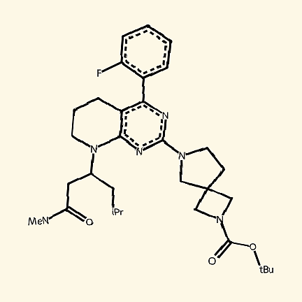 CNC(=O)CC(CC(C)C)N1CCCc2c(-c3ccccc3F)nc(N3CCC4(CN(C(=O)OC(C)(C)C)C4)C3)nc21